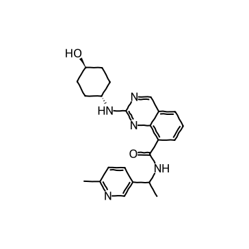 Cc1ccc(C(C)NC(=O)c2cccc3cnc(N[C@H]4CC[C@H](O)CC4)nc23)cn1